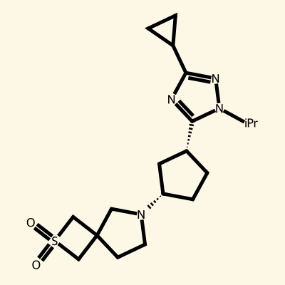 CC(C)n1nc(C2CC2)nc1[C@@H]1CC[C@H](N2CCC3(C2)CS(=O)(=O)C3)C1